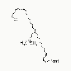 CC/C=C\C/C=C\C/C=C\CCCCCCCCC(CCCCCCCC/C=C\C/C=C\CCCCC)CCCN(C)C